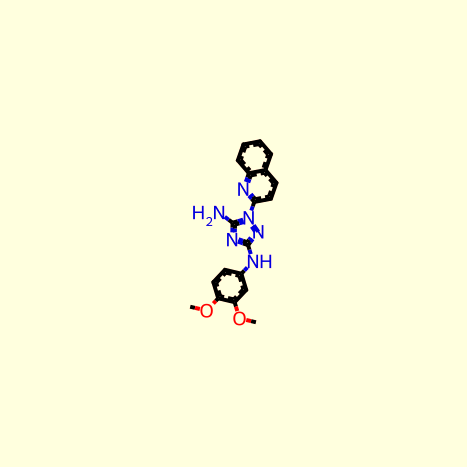 COc1ccc(Nc2nc(N)n(-c3ccc4ccccc4n3)n2)cc1OC